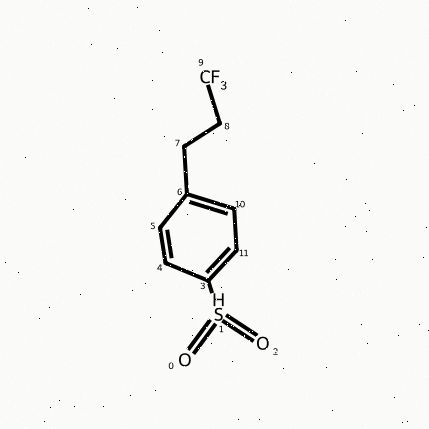 O=[SH](=O)c1ccc(CCC(F)(F)F)cc1